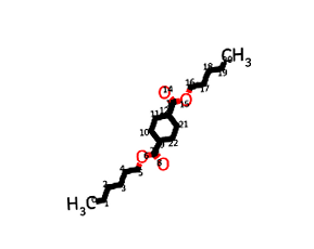 CCCCCCOC(=O)C1CCC(C(=O)OCCCCC)CC1